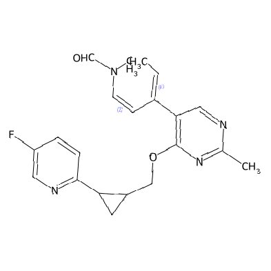 C/C=C(\C=C/N(C)C=O)c1cnc(C)nc1OCC1CC1c1ccc(F)cn1